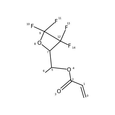 C=CC(=O)OC(C)C1OC(F)(F)C1(F)F